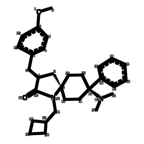 COc1ccc(CC2C[C@]3(CC[C@](c4ccccc4)(N(C)C)CC3)N(CC3CCC3)C2=O)cc1